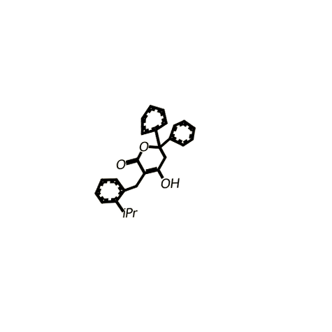 CC(C)c1ccccc1CC1=C(O)CC(c2ccccc2)(c2ccccc2)OC1=O